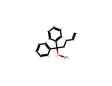 C=CCCC(O[SiH3])(c1ccccc1)c1ccccc1